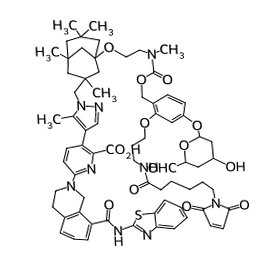 Cc1c(-c2ccc(N3CCc4cccc(C(=O)Nc5nc6ccccc6s5)c4C3)nc2C(=O)O)cnn1CC1(C)CC2(C)CC(C)(C)CC(OCCN(C)C(=O)OCc3ccc(OC4CC(O)CC(C=O)O4)cc3OCCCNC(=O)CCCCCN3C(=O)C=CC3=O)(C1)C2